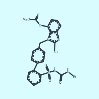 CCCCc1nc2cccc(OC(=O)OC)c2n1Cc1ccc(-c2ccccc2S(=O)(=O)NC(=O)NCC)cc1